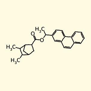 CC(OC(=O)C1CC2CC1C(C)C2C)c1ccc2c(ccc3ccccc32)c1